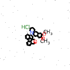 COc1cc2c(cc1OC)CC1(CCCCN1CCC1(c3ccccc3)COCc3ccccc31)CC2.Cl